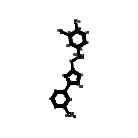 Cc1cccc(-c2nc(CNc3ccc(F)c(F)c3)co2)c1